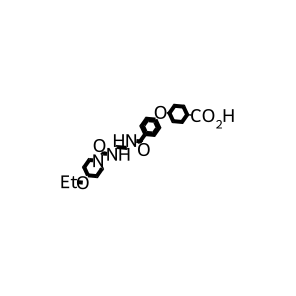 CCOC1CCN(C(=O)NCCNC(=O)c2ccc(O[C@H]3CC[C@@H](C(=O)O)CC3)cc2)CC1